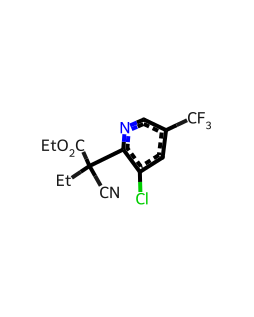 CCOC(=O)C(C#N)(CC)c1ncc(C(F)(F)F)cc1Cl